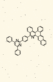 c1ccc(-c2cc(-c3ccccc3)nc(-c3ccc(-c4nc5c6cc7ccccc7cc6c6ccccc6c5c5ccccc45)cc3)n2)cc1